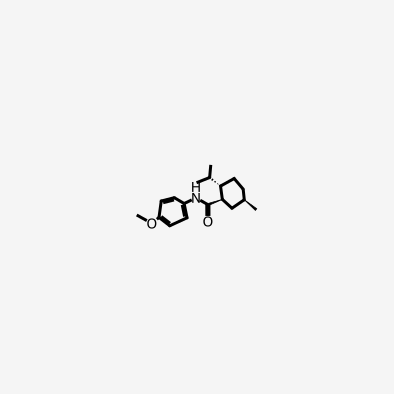 COc1ccc(NC(=O)[C@@H]2C[C@H](C)CC[C@H]2C(C)C)cc1